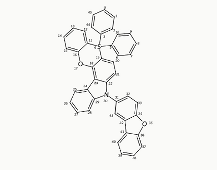 c1ccc(S2(c3ccccc3)c3ccccc3Oc3c2ccc2c3c3ccccc3n2-c2ccc3oc4ccccc4c3c2)cc1